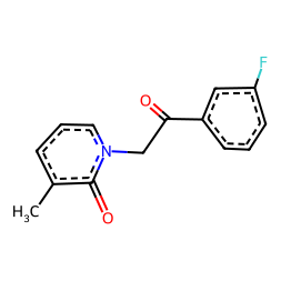 Cc1cccn(CC(=O)c2cccc(F)c2)c1=O